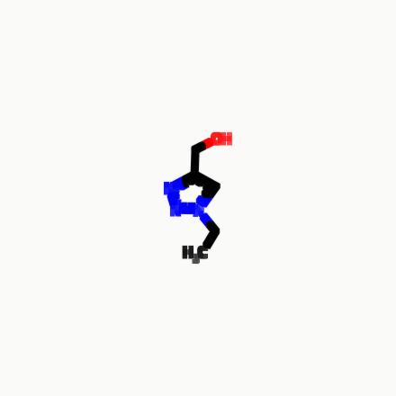 CCn1cc(CO)nn1